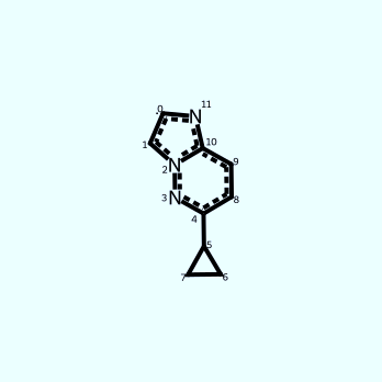 [c]1cn2nc(C3CC3)ccc2n1